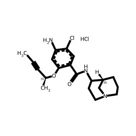 CC#C[C@H](C)Oc1cc(N)c(Cl)cc1C(=O)NC1CCN2CCC[C@@H]1C2.Cl